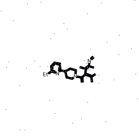 C=N/C(C)=C(\C)C(C(=C)N1CCC(c2cccc(CC)n2)CC1)=C(C)C